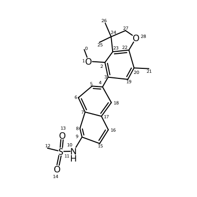 COc1c(-c2ccc3cc(NS(C)(=O)=O)ccc3c2)cc(C)c2c1C(C)(C)CO2